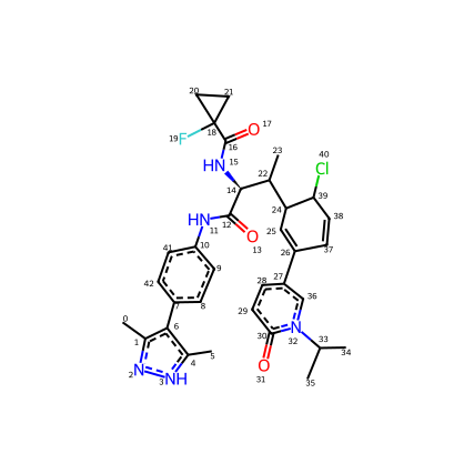 Cc1n[nH]c(C)c1-c1ccc(NC(=O)[C@@H](NC(=O)C2(F)CC2)C(C)C2C=C(c3ccc(=O)n(C(C)C)c3)C=CC2Cl)cc1